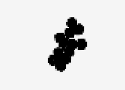 c1ccc(-c2ccc3c4c(N(c5ccccc5)c5cccc6c5-c5ccccc5C65c6ccccc6-c6ccccc65)cc5ccccc5c4n(-c4ccc5c6ccccc6c6ccccc6c5c4)c3c2)cc1